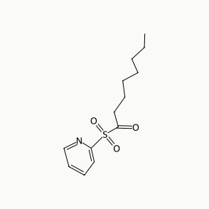 CCCCCCCC(=O)S(=O)(=O)c1ccccn1